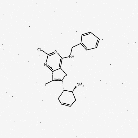 N[C@H]1CC=CC[C@@H]1c1sc2c(NCc3ccccc3)nc(Cl)nc2c1I